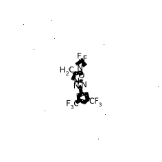 C=C(Cn1cnc(-c2cc(C(F)(F)F)cc(C(F)(F)F)c2)n1)C(=O)N1CC(F)(F)C1